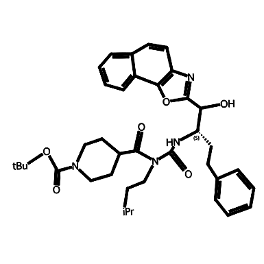 CC(C)CCN(C(=O)N[C@@H](CCc1ccccc1)C(O)c1nc2ccc3ccccc3c2o1)C(=O)C1CCN(C(=O)OC(C)(C)C)CC1